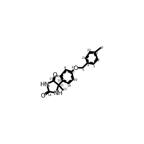 Cc1ccc(COc2ccc(C3(C)NC(=O)NC3=O)cc2)cc1